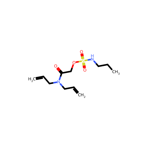 C=CCN(CC=C)C(=O)COS(=O)(=O)NCCC